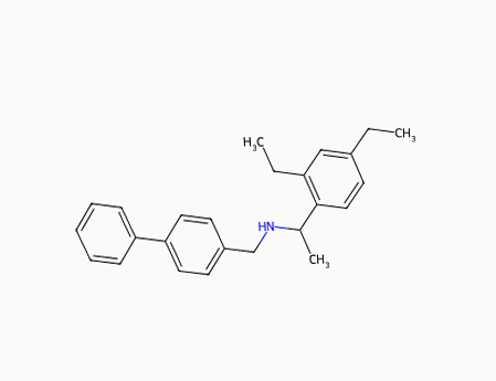 CCc1ccc(C(C)NCc2ccc(-c3ccccc3)cc2)c(CC)c1